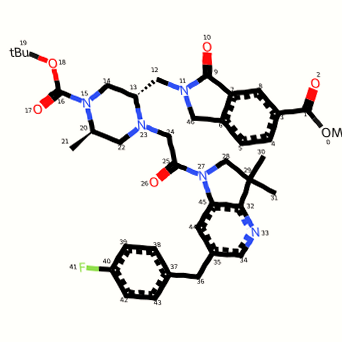 COC(=O)c1ccc2c(c1)C(=O)N(C[C@H]1CN(C(=O)OC(C)(C)C)[C@H](C)CN1CC(=O)N1CC(C)(C)c3ncc(Cc4ccc(F)cc4)cc31)C2